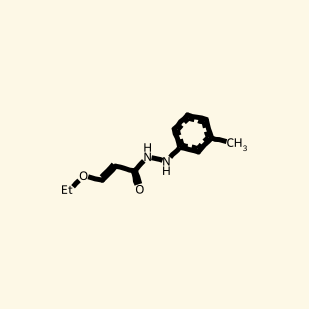 CCOC=CC(=O)NNc1cccc(C)c1